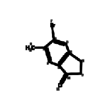 Cc1cc2c(cc1Br)CCC2=O